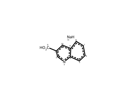 O=C(O)c1cnc2ccccc2c1.[NaH]